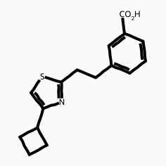 O=C(O)c1cccc(CCc2nc(C3CCC3)cs2)c1